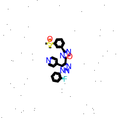 C=S(C)(=O)c1cccc(-c2noc(-c3nnn(-c4ccccc4F)c3-c3ccncc3)n2)c1